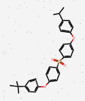 CC(C)c1ccc(Oc2ccc(S(=O)(=O)c3ccc(Oc4ccc(C(C)(C)C)cc4)cc3)cc2)cc1